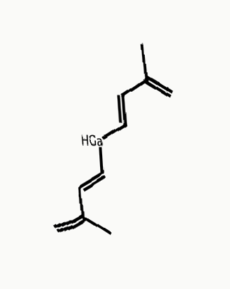 C=C(C)C=[CH][GaH][CH]=CC(=C)C